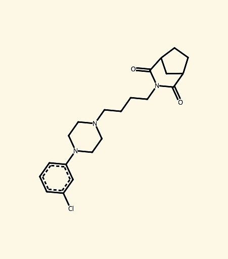 O=C1C2CCC(C2)C(=O)N1CCCCN1CCN(c2cccc(Cl)c2)CC1